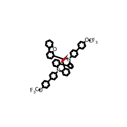 FC(F)(F)Oc1ccc(-c2ccc(N3c4ccccc4C4(c5ccccc53)c3ccccc3N(c3ccc(-c5ccc(OC(F)(F)F)cc5)cc3)c3ccc(-c5cccc6c5oc5ccccc56)cc34)cc2)cc1